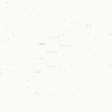 CC(C)c1ccc(-c2cc3ccc(CO)cc3oc2=O)c(C(C)C)c1